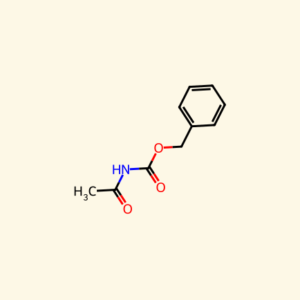 CC(=O)NC(=O)OCc1ccccc1